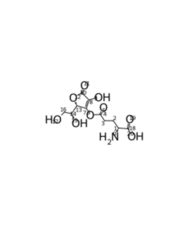 N[C@@H](CCC(=O)OC1=C(O)C(=O)O[C@@H]1[C@@H](O)CO)C(=O)O